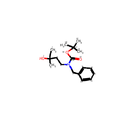 CC(C)(O)CCN(Cc1ccccc1)C(=O)OC(C)(C)C